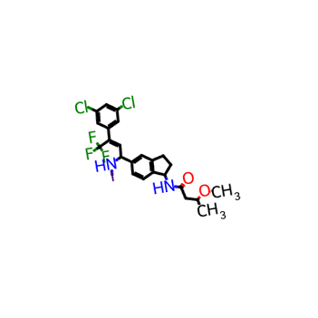 COC(C)CC(=O)NC1CCc2cc(C(/C=C(/c3cc(Cl)cc(Cl)c3)C(F)(F)F)NI)ccc21